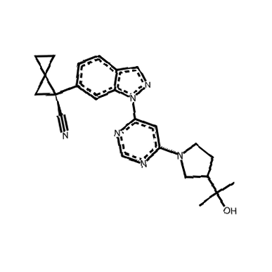 CC(C)(O)C1CCN(c2cc(-n3ncc4ccc([C@]5(C#N)CC56CC6)cc43)ncn2)C1